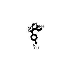 ON=CC1CCC(c2nnn3cnc4[nH]ccc4c23)CC1